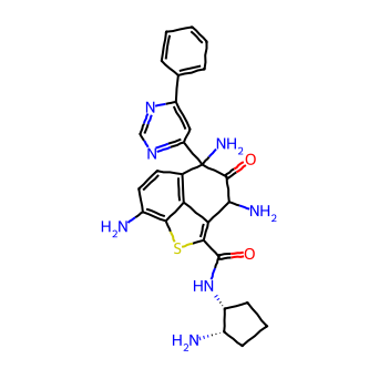 Nc1ccc2c3c(c(C(=O)N[C@@H]4CCC[C@@H]4N)sc13)C(N)C(=O)C2(N)c1cc(-c2ccccc2)ncn1